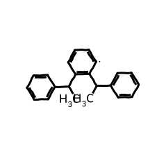 CC(c1ccccc1)c1[c]cccc1C(C)c1ccccc1